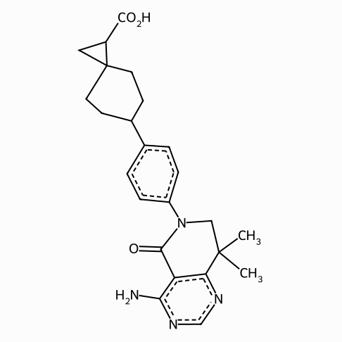 CC1(C)CN(c2ccc(C3CCC4(CC3)CC4C(=O)O)cc2)C(=O)c2c(N)ncnc21